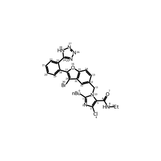 CCCCc1nc(Cl)c(C(=O)NCC)n1Cc1ccc2oc(-c3ccccc3-c3nnn[nH]3)c(Br)c2c1